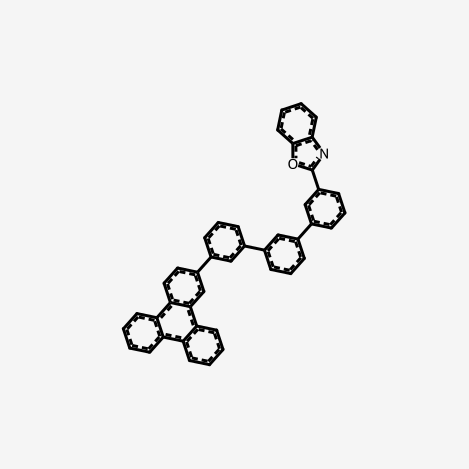 c1cc(-c2cccc(-c3ccc4c5ccccc5c5ccccc5c4c3)c2)cc(-c2cccc(-c3nc4ccccc4o3)c2)c1